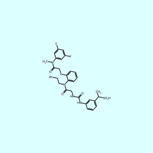 CC(C)CCN(C(=O)CNC(=O)Nc1cccc(C(C)S(=O)(=O)O)c1)c1ccccc1OCC(=O)N(C)c1cc(F)cc(F)c1